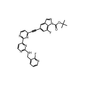 CC(C)(C)OC(=O)n1ncc2cc(C#Cc3ccnc(-c4ccnc(NCc5cccnc5F)n4)n3)cc(F)c21